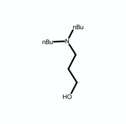 CCCCN(CC[CH]O)CCCC